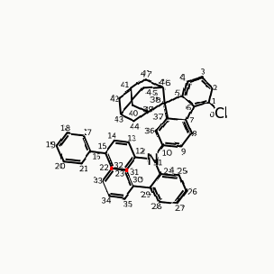 Clc1cccc2c1-c1ccc(N(c3ccc(-c4ccccc4)cc3)c3ccccc3-c3ccccc3)cc1C21C2CC3CC(C2)CC1C3